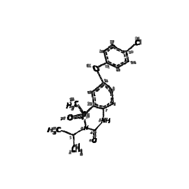 CC(C)N1C(=O)Nc2ccc(Oc3ccc(Cl)cc3)cc2P1(C)=O